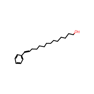 OCCCCCCCCCCCCC=Cc1ccccc1